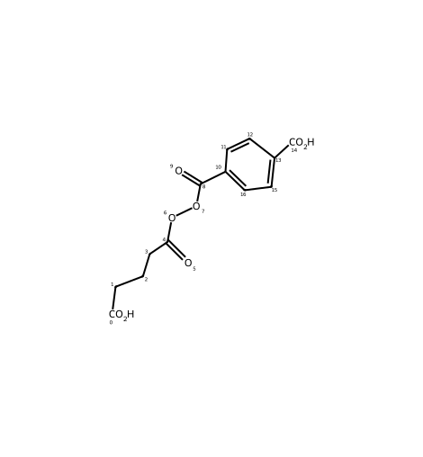 O=C(O)CCCC(=O)OOC(=O)c1ccc(C(=O)O)cc1